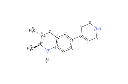 CC(=O)N1c2ccc(C3=CCNCC3)cc2C[C@@H](C)[C@@H]1C